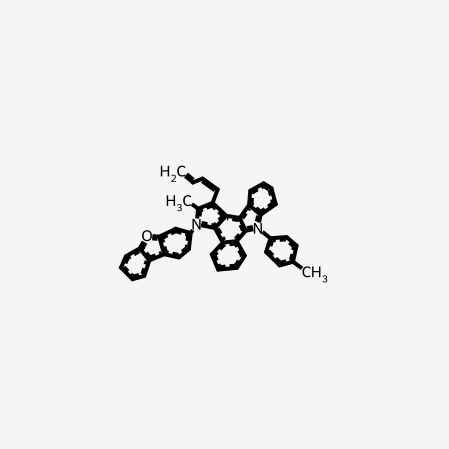 C=C/C=C\c1c(C)n(-c2ccc3c(c2)oc2ccccc23)c2c3ccccc3c3c(c4ccccc4n3-c3ccc(C)cc3)c12